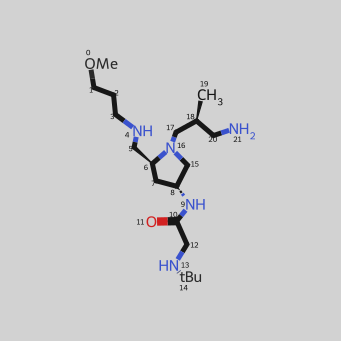 COCCCNC[C@@H]1C[C@@H](NC(=O)CNC(C)(C)C)CN1C[C@@H](C)CN